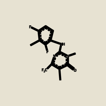 Cc1c(F)ccc(Nc2nc(C(F)(F)F)c(C)c(=O)n2C)c1F